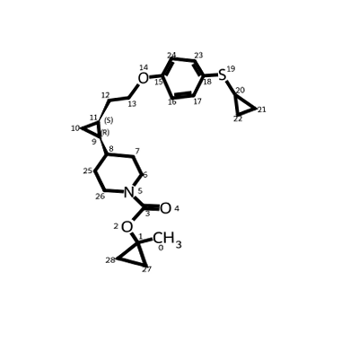 CC1(OC(=O)N2CCC([C@H]3C[C@H]3CCOc3ccc(SC4CC4)cc3)CC2)CC1